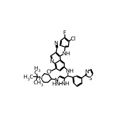 CC(C)(C)N1CCC(N2C=C([C@@H](Nc3cc(Cl)c4ncc(C#N)c(Nc5ccc(F)c(Cl)c5)c4c3)c3cccc(-c4nccs4)c3)NN2)CC1